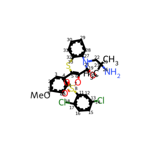 COc1ccc(C2=C(OS(=O)(=O)c3cc(Cl)ccc3Cl)C(=O)N(CC(C)(C)N)c3ccccc3S2)cc1